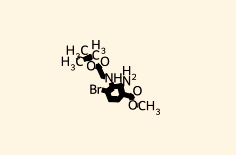 COC(=O)c1ccc(Br)c(NCC(=O)OC(C)(C)C)c1N